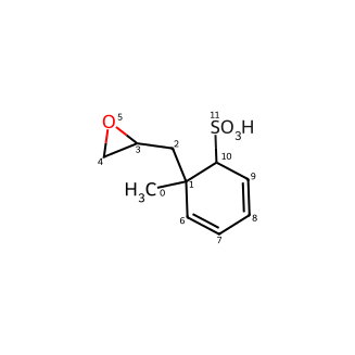 CC1(CC2CO2)C=CC=CC1S(=O)(=O)O